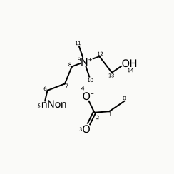 CCC(=O)[O-].CCCCCCCCCCCC[N+](C)(C)CCO